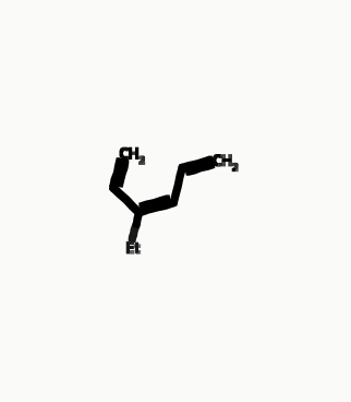 C=CC=C(C=C)CC